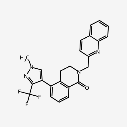 Cn1cc(-c2cccc3c2CCN(Cc2ccc4ccccc4n2)C3=O)c(C(F)(F)F)n1